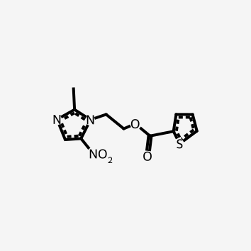 Cc1ncc([N+](=O)[O-])n1CCOC(=O)c1cccs1